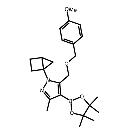 COc1ccc(COCc2c(B3OC(C)(C)C(C)(C)O3)c(C)nn2C23CCC2C3)cc1